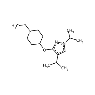 CCN1CCC(Oc2nn(C(C)C)cc2C(C)C)CC1